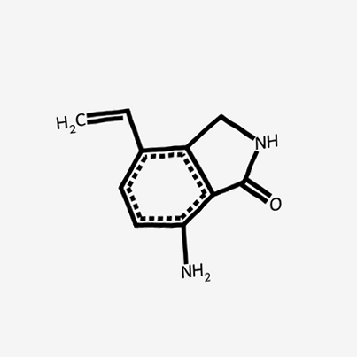 C=Cc1ccc(N)c2c1CNC2=O